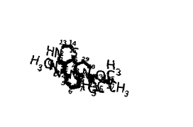 Cn1nc(-c2ccccn2)c2c1NCCSC2C1CCN(C(=O)OC(C)(C)C)CC1